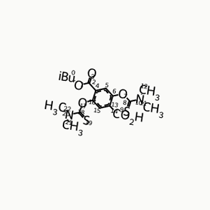 CCC(C)OC(=O)c1cc(OC(=S)N(C)C)c(C(=O)O)cc1OC(=S)N(C)C